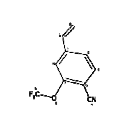 C=[C]c1ccc(C#N)c(OC(F)(F)F)c1